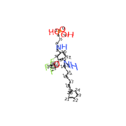 O=P(O)(O)CCCNCc1ccc(NCCCCCc2ccccc2)c(OC(F)(F)F)c1